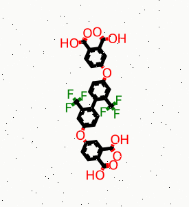 O=C(O)c1ccc(Oc2ccc(-c3ccc(Oc4ccc(C(=O)O)c(C(=O)O)c4)cc3C(F)(F)F)c(C(F)(F)F)c2)cc1C(=O)O